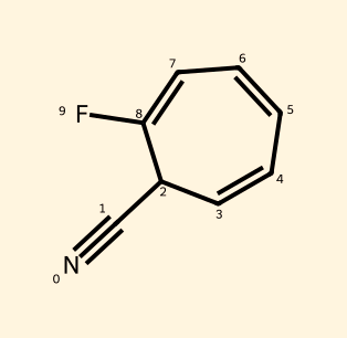 N#CC1C=CC=CC=C1F